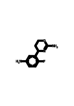 NC1=NC(c2cc(N)ccc2F)CCO1